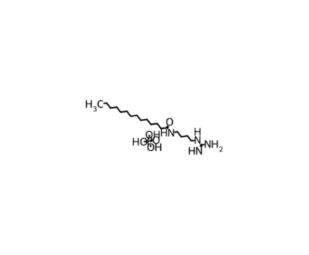 CCCCCCCCCCCCCC(=O)NCCCCNC(=N)N.O=P(O)(O)O